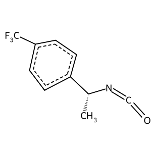 C[C@@H](N=C=O)c1ccc(C(F)(F)F)cc1